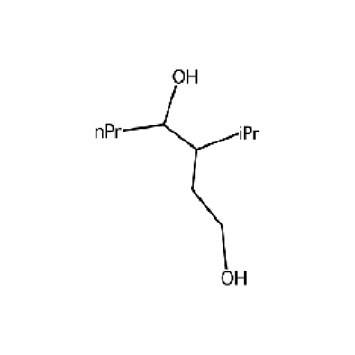 CCCC(O)C(CCO)C(C)C